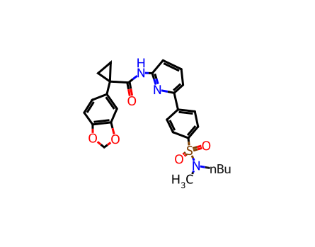 CCCCN(C)S(=O)(=O)c1ccc(-c2cccc(NC(=O)C3(c4ccc5c(c4)OCO5)CC3)n2)cc1